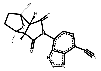 C[C@]12CC[C@](C)(O1)[C@@H]1C(=O)N(c3ccc(C#N)c4nsnc34)C(=O)[C@@H]12